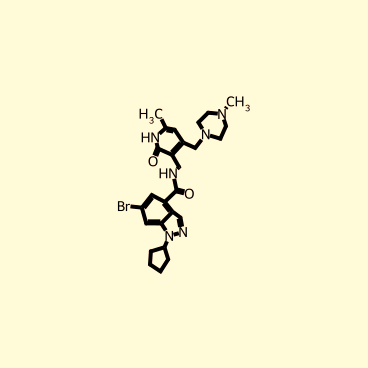 Cc1cc(CN2CCN(C)CC2)c(CNC(=O)c2cc(Br)cc3c2cnn3C2CCCC2)c(=O)[nH]1